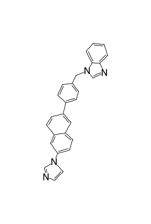 c1ccc2c(c1)ncn2Cc1ccc(-c2ccc3cc(-n4ccnc4)ccc3c2)cc1